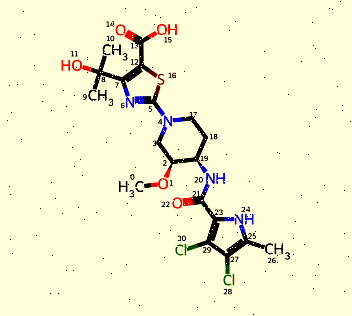 CO[C@H]1CN(c2nc(C(C)(C)O)c(C(=O)O)s2)CC[C@H]1NC(=O)c1[nH]c(C)c(Cl)c1Cl